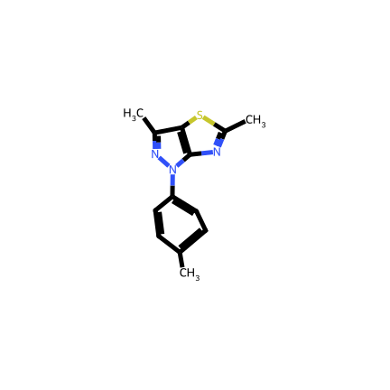 Cc1ccc(-n2nc(C)c3sc(C)nc32)cc1